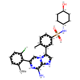 COc1cccc(F)c1-c1cn2c(-c3cc(S(=O)(=O)N[C@H]4CC[C@H](O)CC4)ccc3C)cnc2c(N)n1